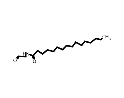 CCCCCCCCCCCCCCCC(=O)N[CH]C=O